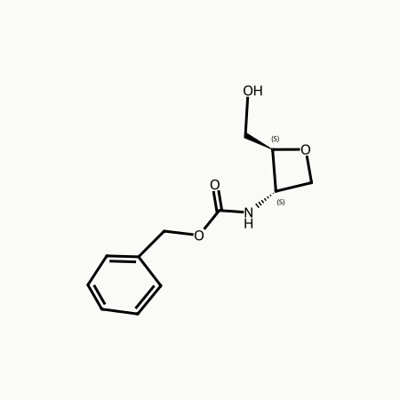 O=C(N[C@H]1CO[C@@H]1CO)OCc1ccccc1